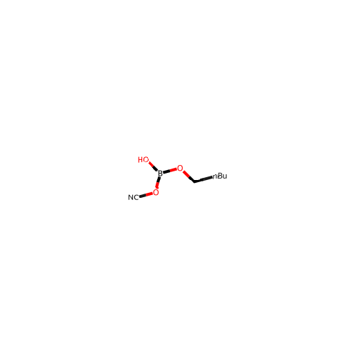 CCCCCOB(O)OC#N